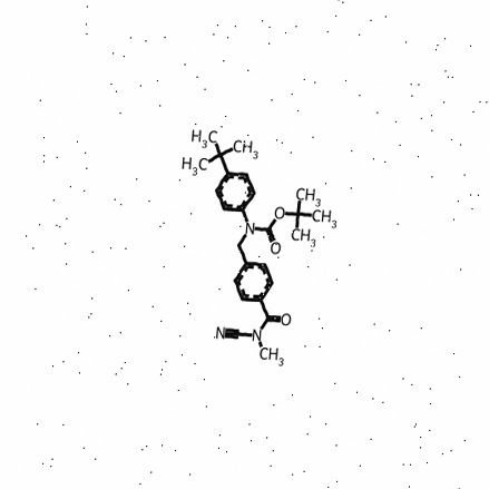 CN(C#N)C(=O)c1ccc(CN(C(=O)OC(C)(C)C)c2ccc(C(C)(C)C)cc2)cc1